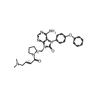 CN(C)C/C=C/C(=O)N1CCC[C@H]1Cn1c(=O)n(-c2ccc(Oc3ccccc3)cc2)c2c(N)ncnc21